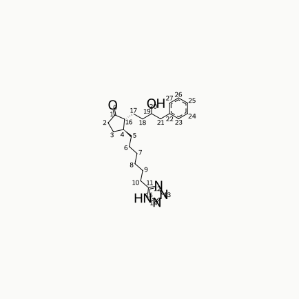 O=C1CC[C@H](CCCCCCc2nnn[nH]2)[C@H]1CCC(O)Cc1ccccc1